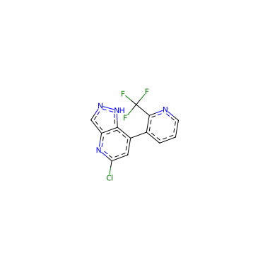 FC(F)(F)c1ncccc1-c1cc(Cl)nc2cn[nH]c12